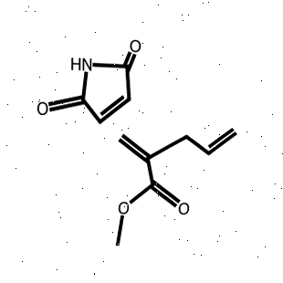 C=CCC(=C)C(=O)OC.O=C1C=CC(=O)N1